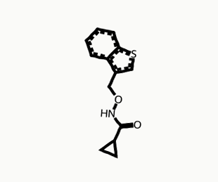 O=C(NOCc1csc2ccccc12)C1CC1